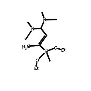 CCO[Si](C)(OCC)C([SiH3])=CC(N(C)C)N(C)C